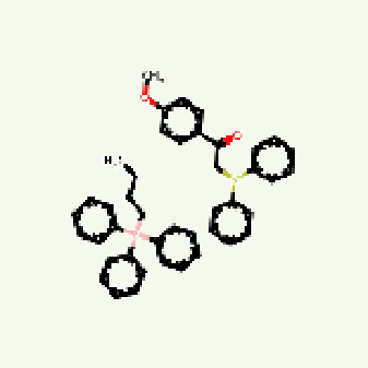 CCCC[B-](c1ccccc1)(c1ccccc1)c1ccccc1.COc1ccc(C(=O)C[S+](c2ccccc2)c2ccccc2)cc1